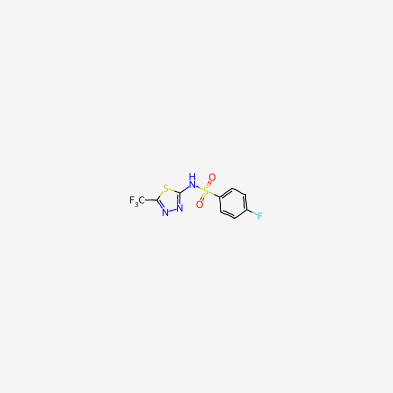 O=S(=O)(Nc1nnc(C(F)(F)F)s1)c1ccc(F)cc1